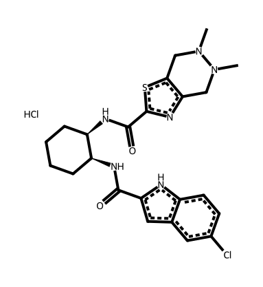 CN1Cc2nc(C(=O)N[C@@H]3CCCC[C@@H]3NC(=O)c3cc4cc(Cl)ccc4[nH]3)sc2CN1C.Cl